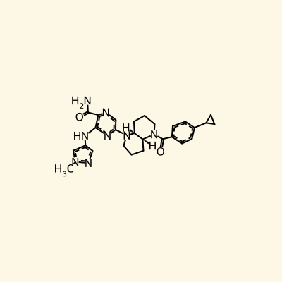 Cn1cc(Nc2nc(N3CCC[C@@H]4[C@H]3CCCN4C(=O)c3ccc(C4CC4)cc3)cnc2C(N)=O)cn1